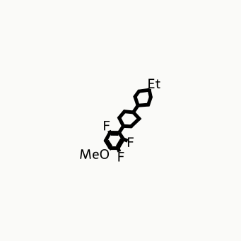 CCC1CCC(C2CCC(c3c(F)cc(OC)c(F)c3F)CC2)CC1